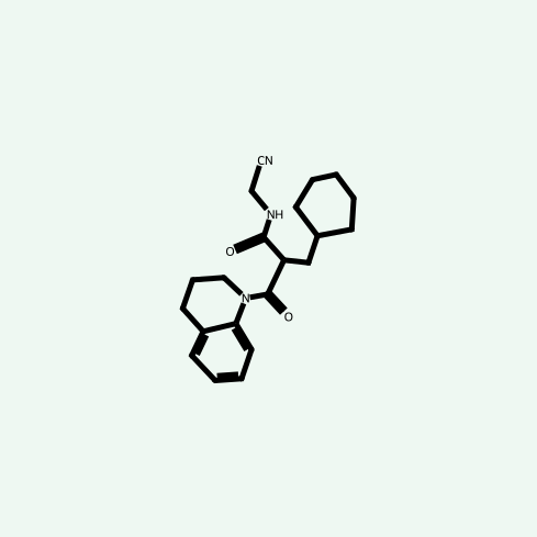 N#CCNC(=O)C(CC1CCCCC1)C(=O)N1CCCc2ccccc21